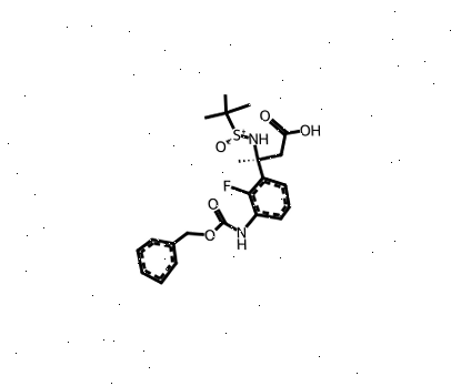 CC(C)(C)[S@@+]([O-])N[C@@](C)(CC(=O)O)c1cccc(NC(=O)OCc2ccccc2)c1F